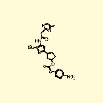 Cc1cnc(CC(=O)Nc2cc(C3CCC(OC(=O)Oc4ccc([N+](=O)[O-])cc4)C3)nn2C(C)(C)C)o1